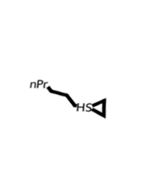 CCCCCC[SH]1CC1